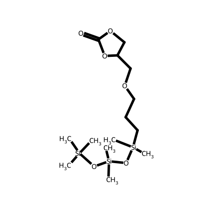 C[Si](C)(C)O[Si](C)(C)O[Si](C)(C)CCCOCC1COC(=O)O1